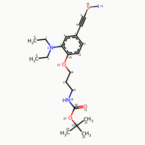 CCN(CC)c1cc(C#CSI)ccc1OCCCNC(=O)OC(C)(C)C